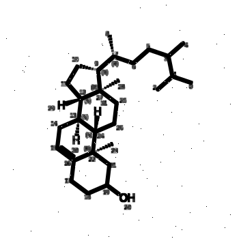 CC(C)C(C)CC[C@@H](C)[C@H]1CC[C@H]2[C@@H]3CC=C4CCC(O)C[C@]4(C)[C@H]3CC[C@]12C